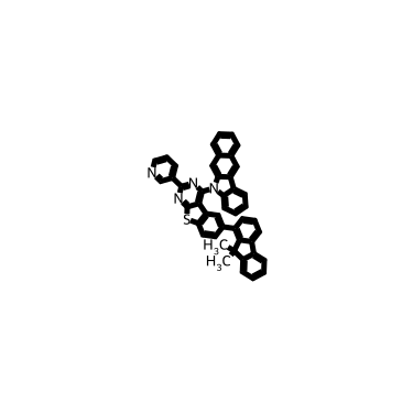 CC1(C)c2ccccc2-c2cccc(-c3ccc4sc5nc(-c6cccnc6)nc(-n6c7ccccc7c7cc8ccccc8cc76)c5c4c3)c21